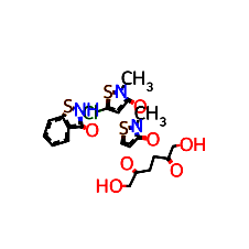 Cn1sc(Cl)cc1=O.Cn1sccc1=O.O=C(CO)CCC(=O)CO.O=c1[nH]sc2ccccc12